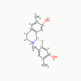 Cc1ccc(C[C@H]2c3cc(O)c(C)cc3CCN2C)cc1O